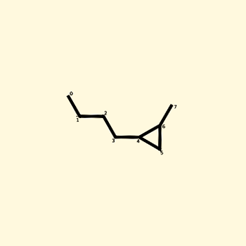 C[CH]CC[C]1CC1C